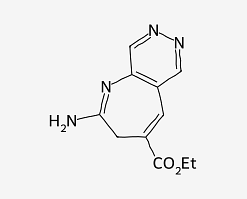 CCOC(=O)C1=Cc2cnncc2N=C(N)C1